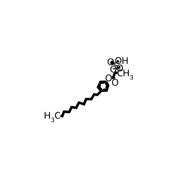 CCCCCCCCCCCCc1ccc(OC(=O)C(C)OS(=O)(=O)O)cc1